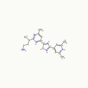 CCC(CCN)c1nc(C)cc(-c2nc(-c3cc(C)nc(C)c3)no2)n1